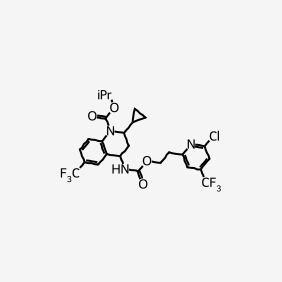 CC(C)OC(=O)N1c2ccc(C(F)(F)F)cc2C(NC(=O)OCCc2cc(C(F)(F)F)cc(Cl)n2)CC1C1CC1